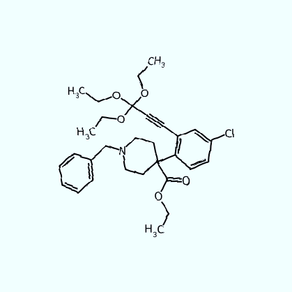 CCOC(=O)C1(c2ccc(Cl)cc2C#CC(OCC)(OCC)OCC)CCN(Cc2ccccc2)CC1